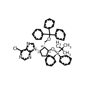 CC(C)(C)[Si](O[C@H]1CC[C@H](n2cnc3c(Cl)ncnc32)[C@@H]1COC(c1ccccc1)(c1ccccc1)c1ccccc1)(c1ccccc1)c1ccccc1